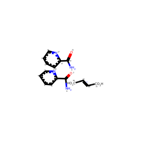 NC(=O)c1ccccn1.NC(=O)c1ccccn1.O=C(O)/C=C/C(=O)O